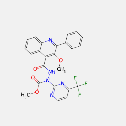 COC(=O)N(NC(=O)c1c(OC)c(-c2ccccc2)nc2ccccc12)c1nccc(C(F)(F)F)n1